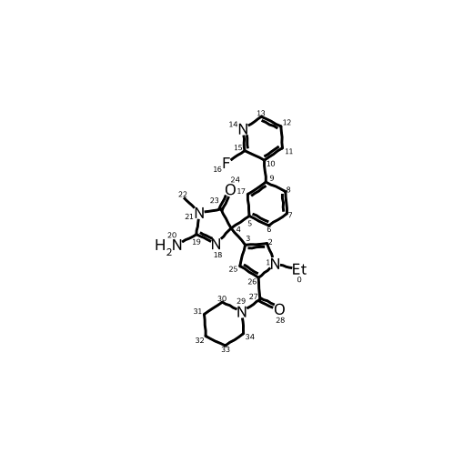 CCn1cc(C2(c3cccc(-c4cccnc4F)c3)N=C(N)N(C)C2=O)cc1C(=O)N1CCCCC1